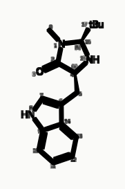 CN1C(=O)[C@H](Cc2c[nH]c3ccccc23)N[C@@H]1C(C)(C)C